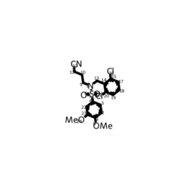 COc1ccc(S(=O)(=O)N(CCCC#N)Cc2c(Cl)cccc2Cl)cc1OC